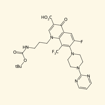 CC(C)(C)OC(=O)NCCCn1cc(C(=O)O)c(=O)c2cc(F)c(N3CCN(c4ncccn4)CC3)c(C(F)(F)F)c21